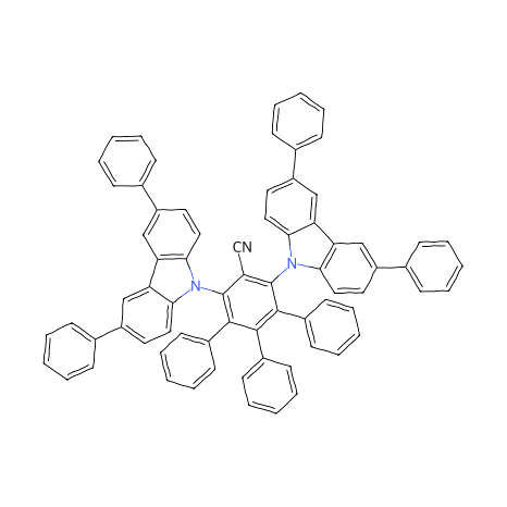 N#Cc1c(-n2c3ccc(-c4ccccc4)cc3c3cc(-c4ccccc4)ccc32)c(-c2ccccc2)c(-c2ccccc2)c(-c2ccccc2)c1-n1c2ccc(-c3ccccc3)cc2c2cc(-c3ccccc3)ccc21